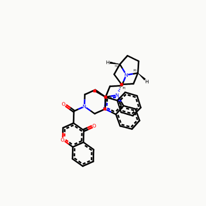 Cc1nc2ccccc2n1[C@H]1C[C@H]2CC[C@@H](C1)N2CCC1(c2ccccc2)CCN(C(=O)c2coc3ccccc3c2=O)CC1